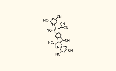 N#CC(C#N)=C1C(c2cc(C#N)cc(C#N)n2)=C(C#N)c2cc3c(cc21)C(C#N)=C(c1cc(C#N)cc(C#N)n1)C3=C(C#N)C#N